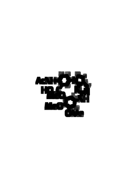 COc1cc(Nc2ncc3ccn(-c4ccc(NC(C)=O)c(C(=O)O)c4)c3n2)cc(OC)c1OC